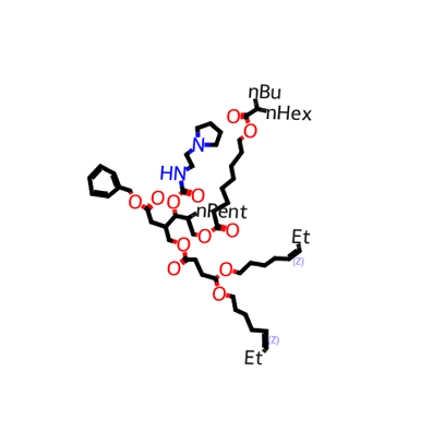 CC/C=C\CCCCOC(CCC(=O)OCC(CC(=O)OCc1ccccc1)C(OC(=O)NCCN1CCCC1)C(CCCCC)COC(=O)CCCCCCCOC(=O)C(CCCC)CCCCCC)OCCCC/C=C\CC